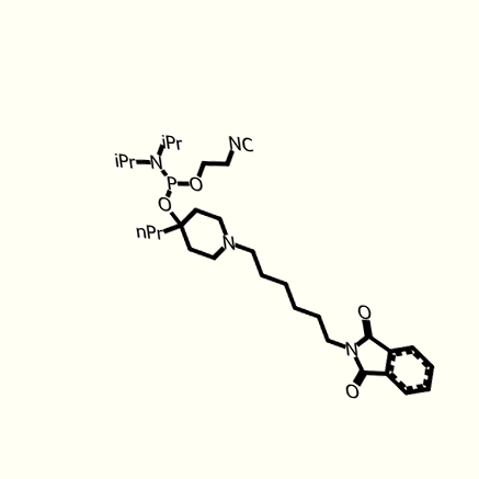 [C-]#[N+]CCOP(OC1(CCC)CCN(CCCCCCN2C(=O)c3ccccc3C2=O)CC1)N(C(C)C)C(C)C